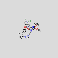 COc1cc2c(nc1OC)c(C1C=C3C(=CC=C(F)N3Cl)N1S(=O)(=O)c1ccc(C)cc1)cn2CCCN1CCCN(C)CC1